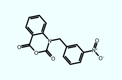 O=c1oc(=O)n(Cc2cccc([N+](=O)[O-])c2)c2ccccc12